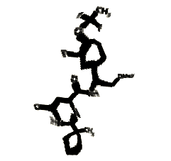 COCC(NC(=O)c1cc(=O)[nH]c(C2(C)CCC2)n1)c1ccc(OC(C)(F)F)c(F)c1